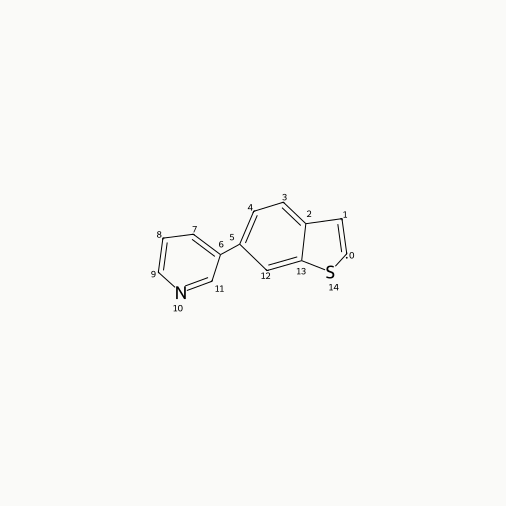 [c]1cc2ccc(-c3cccnc3)cc2s1